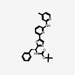 Cc1ccnc(Nc2cccc(-c3cnc([C@H](Cc4ccccc4)NC(=O)OC(C)(C)C)s3)n2)c1